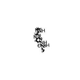 C=CCN(S)C(=O)Nc1ccc2ncc(-c3ncc[nH]3)nc2n1